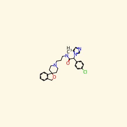 CN(CCCN1CCC2(CC1)OCc1ccccc12)C(=O)C(c1ccc(Cl)cc1)n1ccnc1